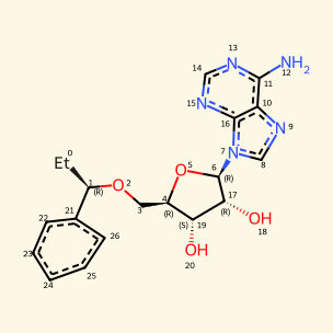 CC[C@@H](OC[C@H]1O[C@@H](n2cnc3c(N)ncnc32)[C@H](O)[C@@H]1O)c1ccccc1